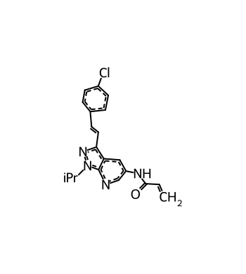 C=CC(=O)Nc1cnc2c(c1)c(C=Cc1ccc(Cl)cc1)nn2C(C)C